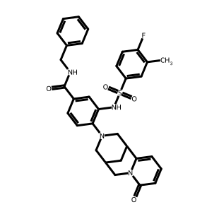 Cc1cc(S(=O)(=O)Nc2cc(C(=O)NCc3ccccc3)ccc2N2CC3CC(C2)c2cccc(=O)n2C3)ccc1F